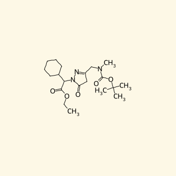 CCOC(=O)C(C1CCCCC1)N1N=C(CN(C)C(=O)OC(C)(C)C)CC1=O